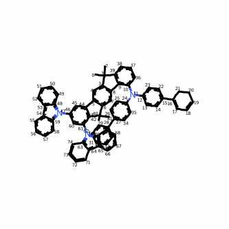 CC1(C)c2cc3c(cc2-c2c(N(c4ccc(C5=CC=CCC5)cc4)c4ccc(-c5ccccc5)cc4)cccc21)C(C)(C)c1c-3cc(-n2c3ccccc3c3ccccc32)cc1-n1c2c(c3ccccc31)C=C=C=C2